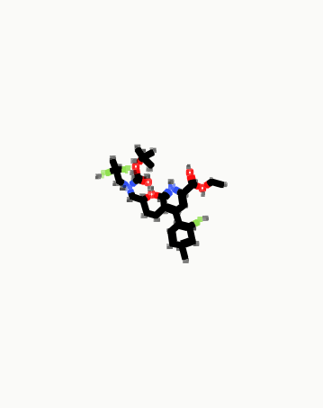 CCOC(=O)c1cc(-c2ccc(C)cc2F)c2c(n1)OC(CN(CC(C)(F)F)C(=O)OC(C)(C)C)CC2